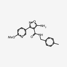 COc1ccc(-c2noc(N)c2C(=O)NCc2ccc(C)cc2)cn1